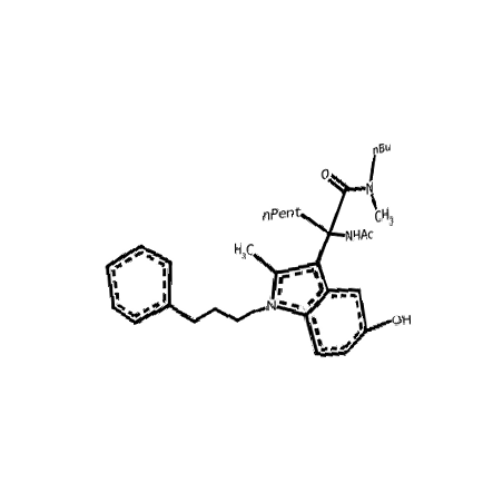 CCCCCC(NC(C)=O)(C(=O)N(C)CCCC)c1c(C)n(CCCc2ccccc2)c2ccc(O)cc12